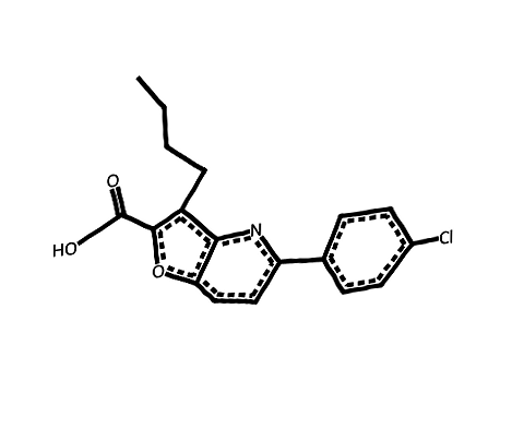 CCCCc1c(C(=O)O)oc2ccc(-c3ccc(Cl)cc3)nc12